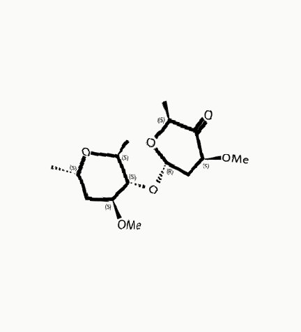 CO[C@H]1C[C@H](O[C@H]2[C@H](C)O[C@@H](C)C[C@@H]2OC)O[C@@H](C)C1=O